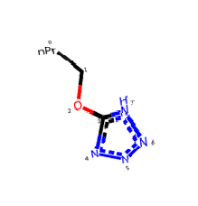 CCCCOc1nnn[nH]1